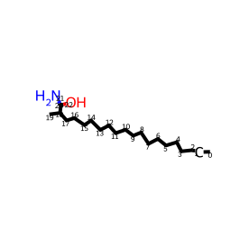 CCCCCCCCCCCCCCCCCCC(C)C(N)O